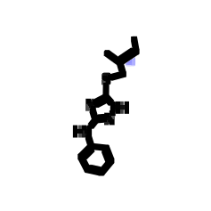 C/C=C(\C)CSc1nc(Nc2ccccc2)n[nH]1